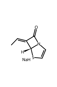 C/C=C1/C(=O)N2C=CS[C@H]12.[NaH]